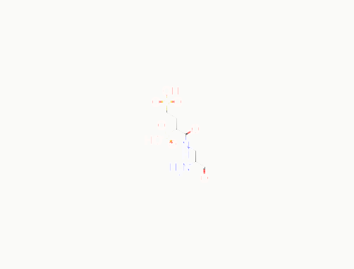 NC(C=O)CNC(=O)C(CCS(=O)(=O)O)S(=O)(=O)O